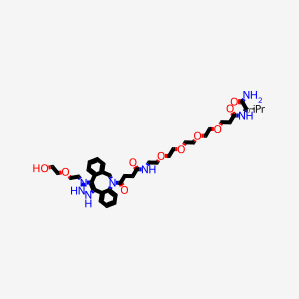 CC(C)[C@H](NC(=O)CCOCCOCCOCCOCCNC(=O)CCC(=O)N1Cc2ccccc2C2=C(NNN2CCOCCO)c2ccccc21)C(N)=O